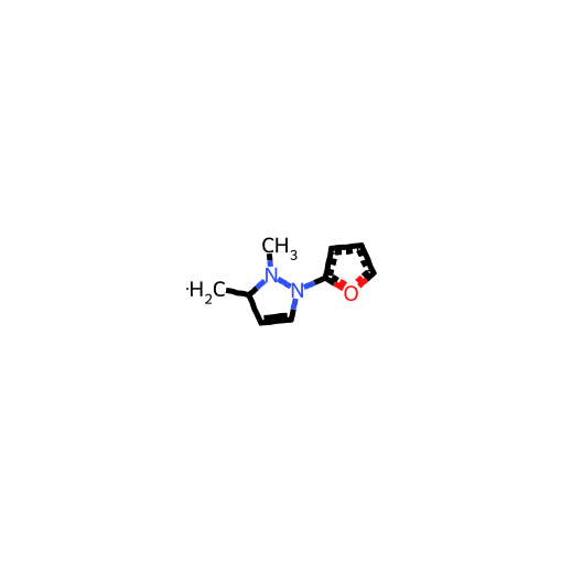 [CH2]C1C=CN(c2ccco2)N1C